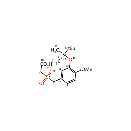 COc1ccc(CS(=O)(=O)CC(=O)O)cc1O[Si](C)(C)C(C)(C)C